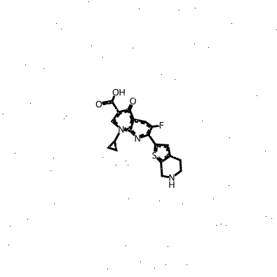 O=C(O)c1cn(C2CC2)c2nc(-c3cc4c(s3)CNCC4)c(F)cc2c1=O